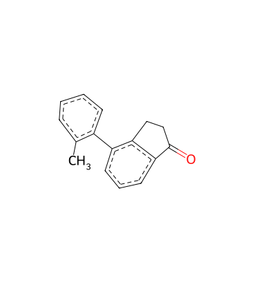 Cc1ccccc1-c1cccc2c1CCC2=O